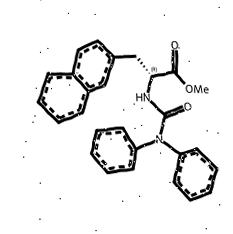 COC(=O)[C@@H](Cc1ccc2ccccc2c1)NC(=O)N(c1ccccc1)c1ccccc1